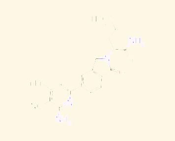 CCCc1cc(-c2ccc3c(c2)CN(C(CCC(=O)O)C(N)=O)C3=O)nc(N)c1C#N